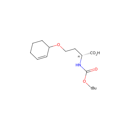 CC(C)(C)OC(=O)N[C@H](CCOC1C=CCCC1)C(=O)O